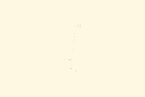 COCC(Br)OCCOCCOCCO